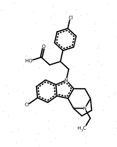 CCN1C2CCC1c1c(n(CC(CC(=O)O)c3ccc(Cl)cc3)c3ccc(Cl)cc13)C2